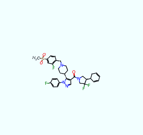 CS(=O)(=O)c1ccc(CN2CCC(c3c(C(=O)N4CC(C5C=CC=CC5)C(F)(F)C4)cnn3-c3ccc(F)cc3)CC2)c(F)c1